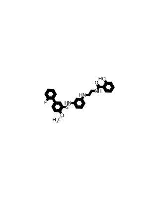 COc1ccc(-c2ccccc2F)cc1SNc1cccc(NCCNC(=O)c2ccccc2O)c1